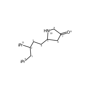 CC(C)CC(CCC1CC(=O)CN1)C(C)C